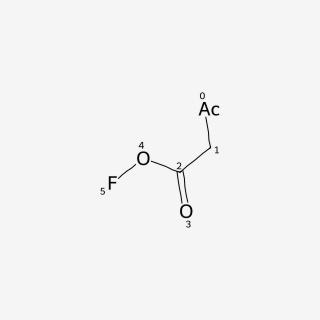 CC(=O)CC(=O)OF